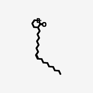 CCCCCCCC/C=C\CCCCCCCC1CCC[B]C1=O